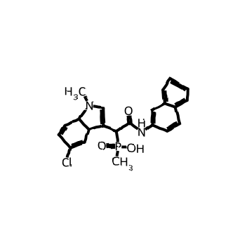 CN1C=C(C(C(=O)Nc2ccc3ccccc3c2)P(C)(=O)O)C2C=C(Cl)C=CC21